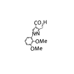 COc1cccc(-n2cc(C(=O)O)c(C)n2)c1OC